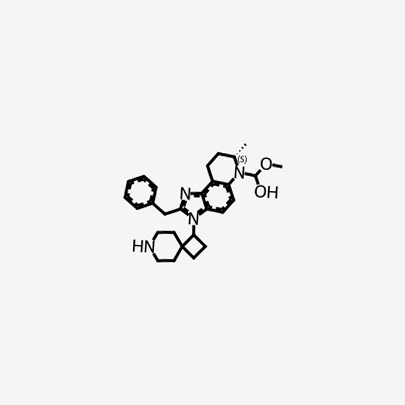 COC(O)N1c2ccc3c(nc(Cc4ccccc4)n3C3CCC34CCNCC4)c2CC[C@@H]1C